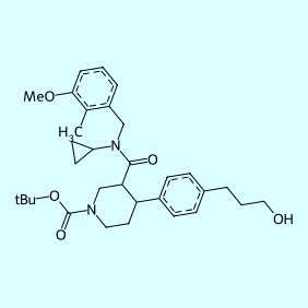 COc1cccc(CN(C(=O)C2CN(C(=O)OC(C)(C)C)CCC2c2ccc(CCCO)cc2)C2CC2)c1C